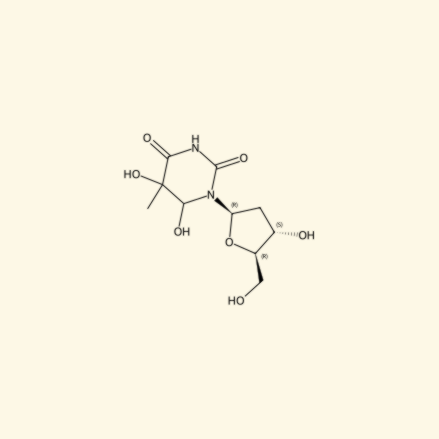 CC1(O)C(=O)NC(=O)N([C@H]2C[C@H](O)[C@@H](CO)O2)C1O